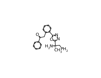 C[C@@](N)(CP)c1nnc(-c2ccccc2CC(=O)c2ccccc2)o1